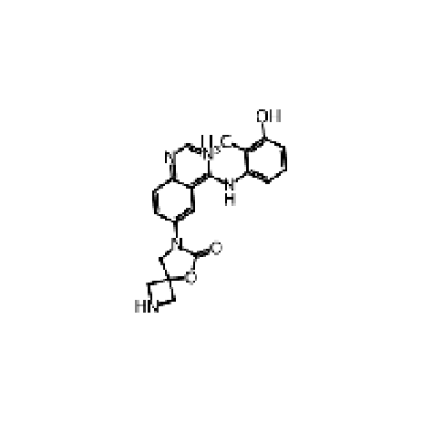 Cc1c(O)cccc1Nc1ncnc2ccc(N3CC4(CNC4)OC3=O)cc12